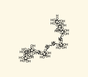 OCC1O[C@H](O[C@@H]2C(CO)O[C@H](O[C@@H]3C(CO)O[C@@H](OCc4cn(C[C@H]5O[C@H](OCc6cn(CCn7cc(CO[C@H]8O[C@H](Cn9cc(CO[C@@H]%10OC(CO)[C@@H](O[C@H]%11OC(CO)[C@@H](O[C@H]%12OC(CO)[C@@H](O)[C@H](O)C%12O)[C@H](O)C%11O)[C@H](O)C%10O)nn9)[C@@H](O)[C@H](O)[C@@H]8O)nn7)nn6)[C@@H](O)[C@@H](O)[C@@H]5O)nn4)C(O)[C@H]3O)C(O)[C@H]2O)C(O)[C@@H](O)[C@@H]1O